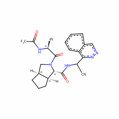 CC(C)[C@H](NC(=O)C(F)(F)F)C(=O)N1C[C@@H]2CCC[C@@H]2[C@H]1C(=O)NC(C#N)c1nncc2ccccc12